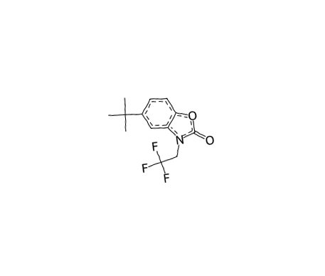 CC(C)(C)c1ccc2oc(=O)n(CC(F)(F)F)c2c1